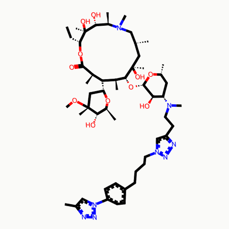 CC[C@H]1OC(=O)[C@H](C)C([C@H]2C[C@@](C)(OC)[C@@H](O)[C@H](C)O2)[C@H](C)[C@@H](O[C@@H]2O[C@H](C)C[C@H](N(C)CCc3cn(CCCCc4ccc(-n5cc(C)nn5)cc4)nn3)[C@H]2O)[C@](C)(O)C[C@@H](C)CN(C)[C@H](C)[C@@H](O)[C@]1(C)O